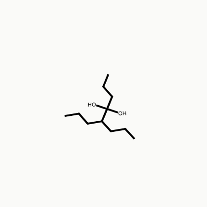 CCCC(CCC)C(O)(O)CCC